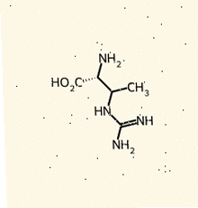 CC(NC(=N)N)[C@@H](N)C(=O)O